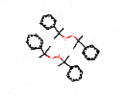 CC(C)(OOC(C)(C)c1ccccc1)c1ccccc1.CC(C)(OOC(C)(C)c1ccccc1)c1ccccc1